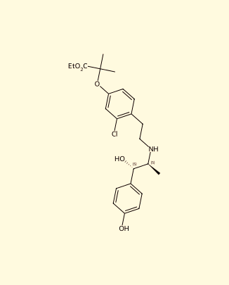 CCOC(=O)C(C)(C)Oc1ccc(CCN[C@@H](C)[C@@H](O)c2ccc(O)cc2)c(Cl)c1